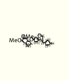 COc1cc2nccc(Oc3ccc4c(c3)OCCN4Cc3ccc(C)cc3)c2cc1OC